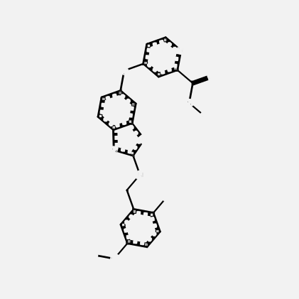 CNC(=O)c1cc(Oc2ccc3nc(NCc4cc(OC)ccc4F)oc3c2)ccn1